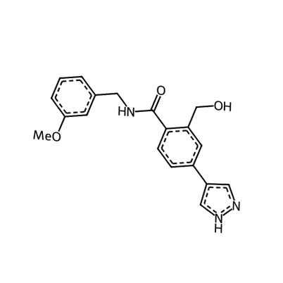 COc1cccc(CNC(=O)c2ccc(-c3cn[nH]c3)cc2CO)c1